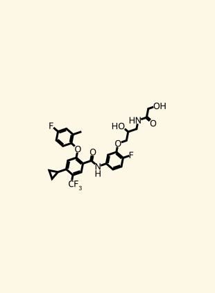 Cc1cc(F)ccc1Oc1cc(C2CC2)c(C(F)(F)F)cc1C(=O)Nc1ccc(F)c(OCC(O)CNC(=O)CO)c1